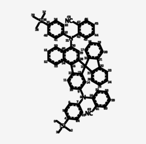 C[Si](C)(C)c1ccc(N(c2ccc3c(c2)C2(c4ccccc4-c4ccccc42)c2cc(N(c4ccc([Si](C)(C)C)cc4)c4ccccc4C#N)c4ccccc4c2-3)c2ccccc2C#N)cc1